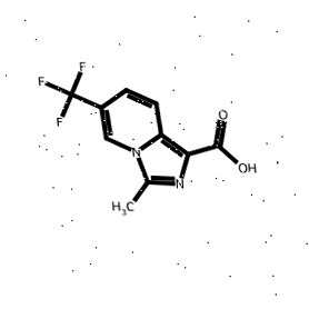 Cc1nc(C(=O)O)c2ccc(C(F)(F)F)cn12